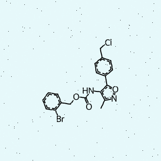 Cc1noc(-c2ccc(CCl)cc2)c1NC(=O)OCc1ccccc1Br